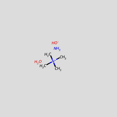 C[N+](C)(C)C.N.O.[OH-]